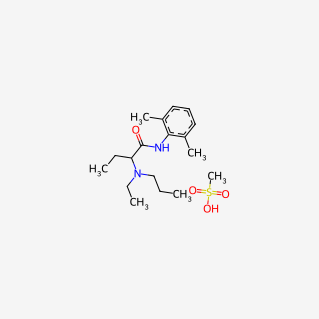 CCCN(CC)C(CC)C(=O)Nc1c(C)cccc1C.CS(=O)(=O)O